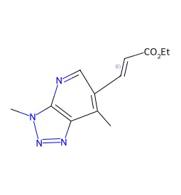 CCOC(=O)/C=C/c1cnc2c(nnn2C)c1C